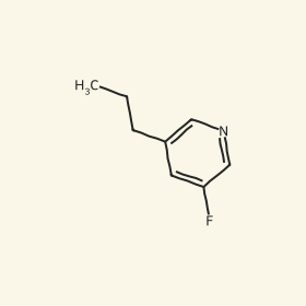 CCCc1cncc(F)c1